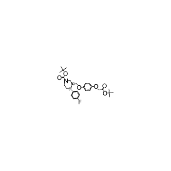 CC(C)(C)OC(=O)COc1ccc(OC[C@@H]2CN(C(=O)OC(C)(C)C)CC[C@H]2c2ccc(F)cc2)cc1